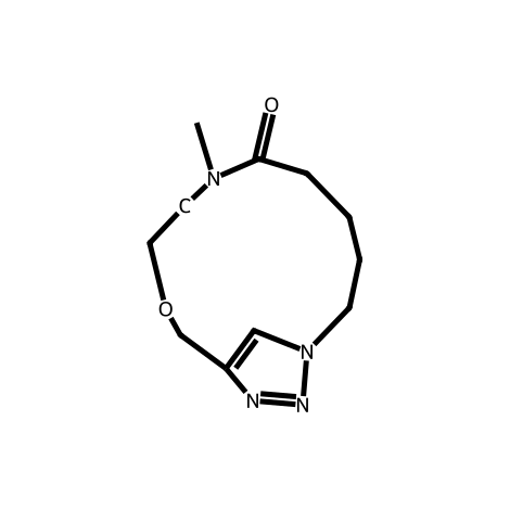 CN1CCOCc2cn(nn2)CCCCC1=O